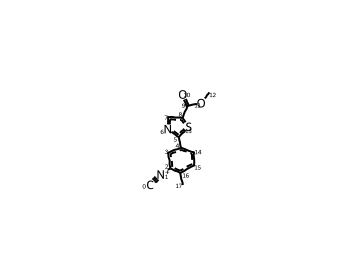 [C-]#[N+]c1cc(-c2ncc(C(=O)OC)s2)ccc1C